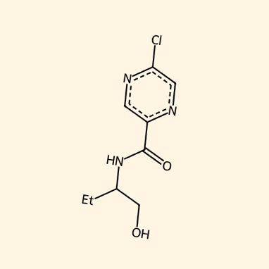 CCC(CO)NC(=O)c1cnc(Cl)cn1